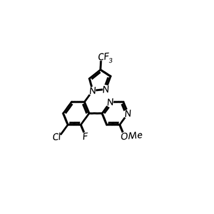 COc1cc(-c2c(-n3cc(C(F)(F)F)cn3)ccc(Cl)c2F)ncn1